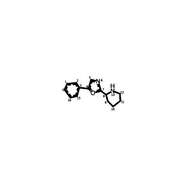 c1ccc(-c2cnc(C3CCCCN3)o2)cc1